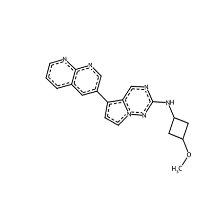 COC1CC(Nc2ncc3c(-c4cnc5ncccc5c4)ccn3n2)C1